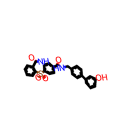 O=C(NCc1ccc(-c2cccc(O)c2)cc1)c1ccc2c(c1)NC(=O)c1ccccc1S2(=O)=O